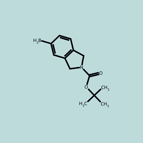 Bc1ccc2c(c1)CN(C(=O)OC(C)(C)C)C2